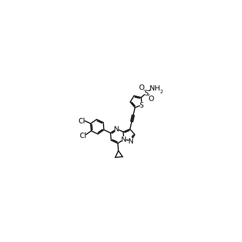 NS(=O)(=O)c1ccc(C#Cc2cnn3c(C4CC4)cc(-c4ccc(Cl)c(Cl)c4)nc23)s1